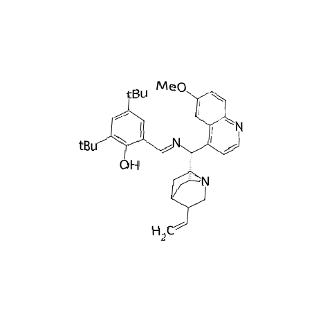 C=CC1CN2CCC1CC2[C@H](/N=C/c1cc(C(C)(C)C)cc(C(C)(C)C)c1O)c1ccnc2ccc(OC)cc12